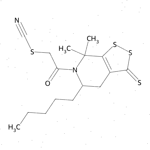 CCCCCC1Cc2c(ssc2=S)C(C)(C)N1C(=O)CSC#N